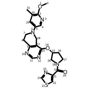 COc1ncc(N2CCc3ncnc(O[C@H]4CCN(C(=O)c5cscn5)C4)c3C2)cc1C